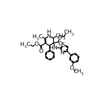 CCOC(=O)C1=C(C)NC(C)C(Nc2nc(-c3cccc(OC)c3)cs2)(C(=O)OCC)C1c1ccccc1